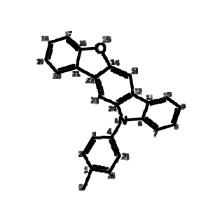 Cc1ccc(-n2c3ccccc3c3cc4oc5ccccc5c4cc32)cc1